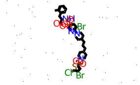 Cc1ccccc1CC(NS(=O)(=O)c1cnc(N2CCC(CCCC3CCN(S(=O)(=O)c4cc(Br)c(Cl)s4)CC3)CC2)c(Br)c1)C(=O)O